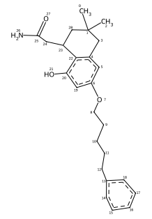 CC1(C)Cc2cc(OCCCCCc3ccccc3)cc(O)c2C(CC(N)=O)C1